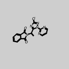 CC(c1nc(Cl)nn1-c1ncccn1)N1C(=O)c2ccccc2C1=O